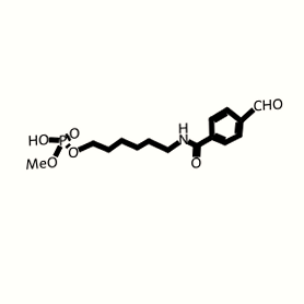 COP(=O)(O)OCCCCCCNC(=O)c1ccc(C=O)cc1